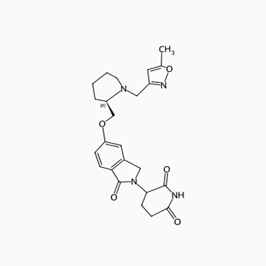 Cc1cc(CN2CCCC[C@@H]2COc2ccc3c(c2)CN(C2CCC(=O)NC2=O)C3=O)no1